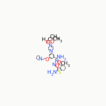 CC(C)(C)OC(=O)N1CCN(c2cc(OCCN3CCCC3)cc(/C(N)=N/OC(=O)C3(C)CCCc4sc(N)c(C#N)c43)c2)CC1